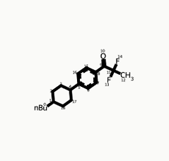 CCCCC1CCC(c2ccc(C(=O)C(C)(F)F)cc2)CC1